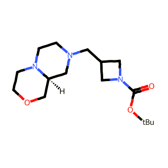 CC(C)(C)OC(=O)N1CC(CN2CCN3CCOC[C@@H]3C2)C1